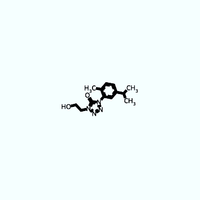 Cc1ccc(C(C)C)cc1-n1nnn(CCO)c1=O